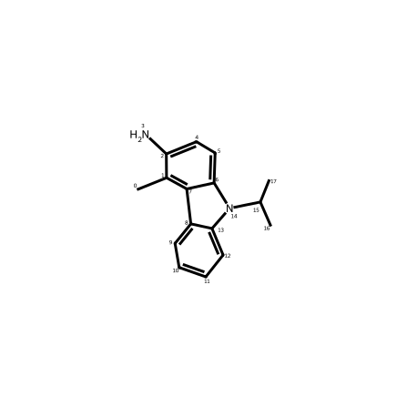 Cc1c(N)ccc2c1c1ccccc1n2C(C)C